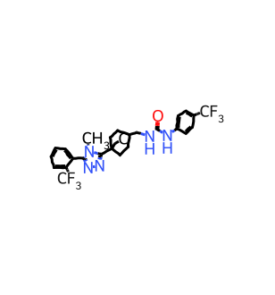 Cn1c(-c2ccccc2C(F)(F)F)nnc1C12CCC(CNC(=O)Nc3ccc(C(F)(F)F)cc3)(CC1)CC2